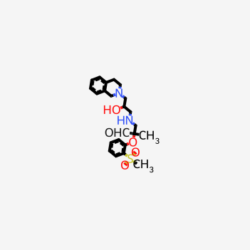 CC(C=O)(CNCC(O)CN1CCc2ccccc2C1)Oc1ccccc1S(C)(=O)=O